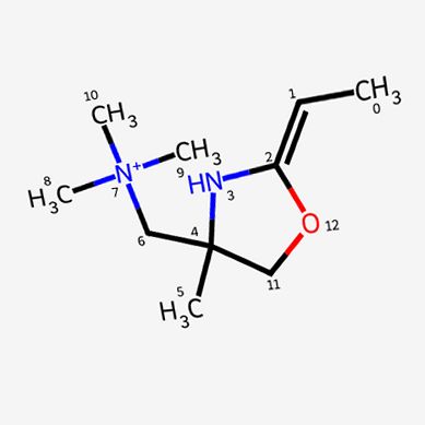 CC=C1NC(C)(C[N+](C)(C)C)CO1